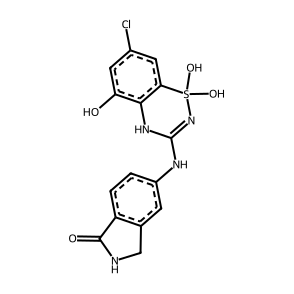 O=C1NCc2cc(NC3=NS(O)(O)c4cc(Cl)cc(O)c4N3)ccc21